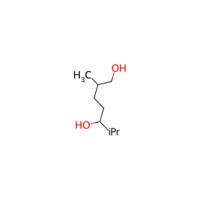 CC(CO)CCC(O)C(C)C